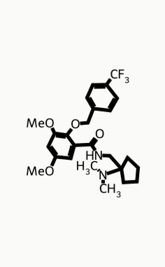 COc1cc(OC)c(OCc2ccc(C(F)(F)F)cc2)c(C(=O)NCC2(N(C)C)CCCC2)c1